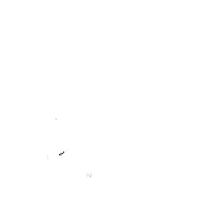 Cc1ccc([C@@H](C)OC[C@H](O)CNC(C)(C)CC2Cc3ccccc3C2)c(CCC(=O)O)c1F